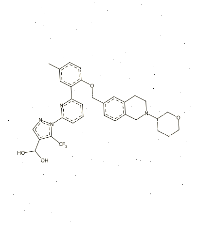 Cc1ccc(OCc2ccc3c(c2)CCN(C2CCCOC2)C3)c(-c2cccc(-n3ncc(C(O)O)c3C(F)(F)F)n2)c1